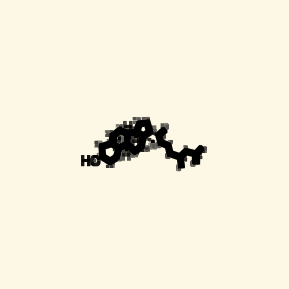 C=C(C)CC(C)CCCC(C)[C@H]1CC[C@H]2[C@@H]3CC=C4C[C@@H](O)CC[C@]4(C)[C@H]3CC[C@]12C